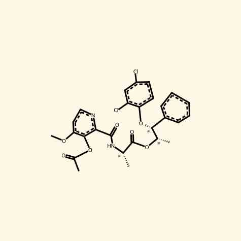 COc1ccnc(C(=O)N[C@@H](C)C(=O)O[C@@H](C)[C@H](Oc2ccc(Cl)cc2Cl)c2ccccc2)c1OC(C)=O